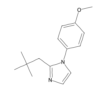 COc1ccc(-n2ccnc2CC(C)(C)C)cc1